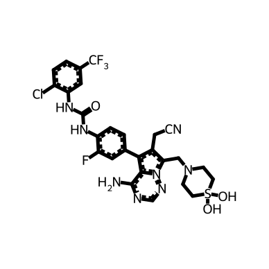 N#CCc1c(-c2ccc(NC(=O)Nc3cc(C(F)(F)F)ccc3Cl)c(F)c2)c2c(N)ncnn2c1CN1CCS(O)(O)CC1